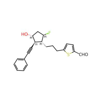 O=Cc1ccc(CCC[C@@H]2[C@@H](C#Cc3ccccc3)[C@H](O)C[C@H]2F)s1